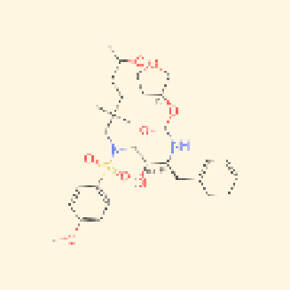 COc1ccc(S(=O)(=O)N(C[C@H](O)[C@H](Cc2ccccc2)NC(=O)O[C@H]2CCOC2)CC(C)(C)CCC(C)=O)cc1